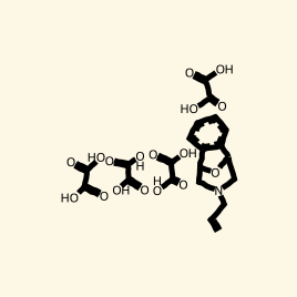 C=CCN1CC2OC(C1)c1ccccc12.O=C(O)C(=O)O.O=C(O)C(=O)O.O=C(O)C(=O)O.O=C(O)C(=O)O